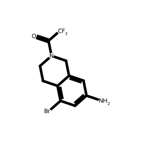 Nc1cc(Br)c2c(c1)CN(C(=O)C(F)(F)F)CC2